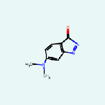 CN(C)c1ccc2c(c1)N=NC2=O